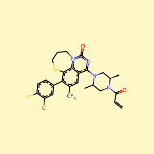 C=CC(=O)N1CC(C)N(c2nc(=O)n3c4c(c(-c5ccc(F)c(Cl)c5)c(C(F)(F)F)cc24)SCCC3)C[C@H]1C